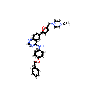 CN1CCN(Cc2ccc(-c3ccc4ncnc(Nc5ccc(OCc6ccccc6)cc5)c4c3)o2)CC1